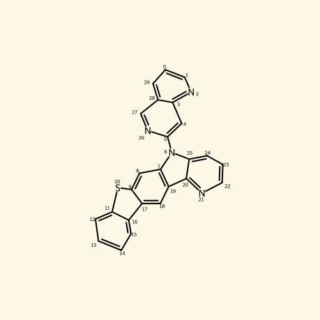 c1cnc2cc(-n3c4cc5sc6ccccc6c5cc4c4ncccc43)ncc2c1